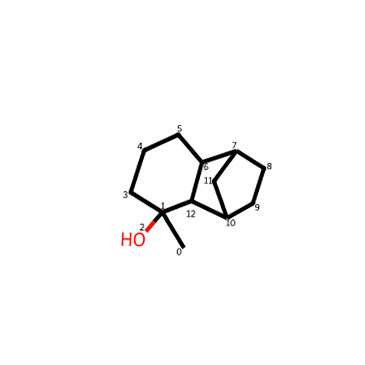 CC1(O)CCCC2C3CCC(C3)C21